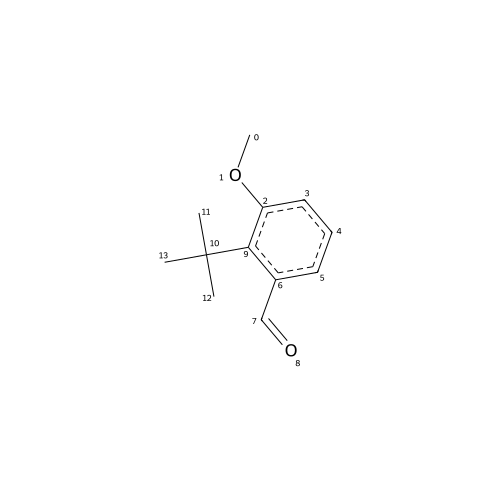 COc1cccc(C=O)c1C(C)(C)C